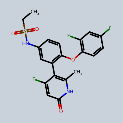 CCS(=O)(=O)Nc1ccc(Oc2ccc(F)cc2F)c(-c2c(F)cc(=O)[nH]c2C)c1